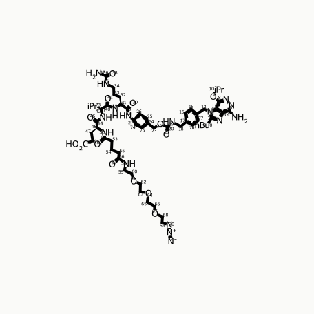 CCCCc1nc2c(N)nnc(OC(C)C)c2n1Cc1ccc(CNC(=O)OCc2ccc(NC(=O)[C@H](CCCNC(N)=O)NC(=O)[C@@H](NC(=O)[C@H](CCC(=O)O)NC(=O)CCCC(=O)NCCOCCOCCOCCN=[N+]=[N-])C(C)C)cc2)cc1